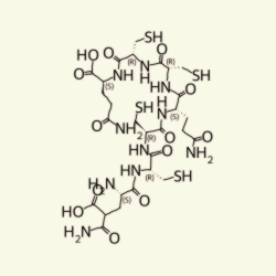 NC(=O)CC[C@H](NC(=O)[C@H](CS)NC(=O)[C@H](CS)NC(=O)[C@H](CCC(N)=O)NC(=O)[C@H](CS)NC(=O)[C@H](CS)NC(=O)[C@@H](N)CC(C(N)=O)C(=O)O)C(=O)O